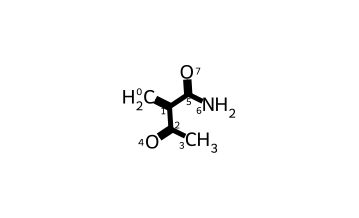 C=C(C(C)=O)C(N)=O